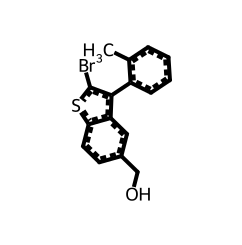 Cc1ccccc1-c1c(Br)sc2ccc(CO)cc12